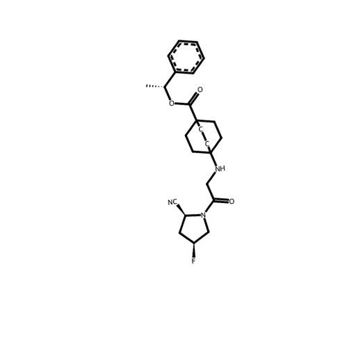 C[C@@H](OC(=O)C12CCC(NCC(=O)N3C[C@@H](F)C[C@H]3C#N)(CC1)CC2)c1ccccc1